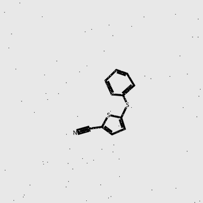 N#Cc1ccc(Sc2ccccc2)s1